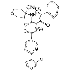 C[C@H](C(=O)[C@H](NC(=O)c1ccc(-c2ccccc2Cl)nc1)C(=O)NC1(C#N)CCOCC1)c1ccccc1